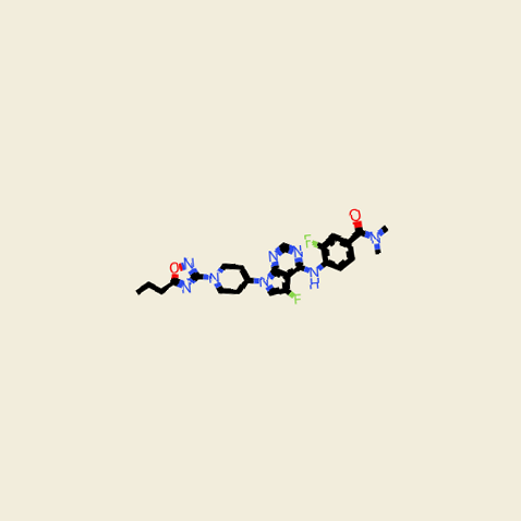 CCCc1nc(N2CCC(n3cc(F)c4c(Nc5ccc(C(=O)N(C)C)cc5F)ncnc43)CC2)no1